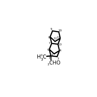 CC1(C=O)CC2CC1C1C3CCC(C3)C21